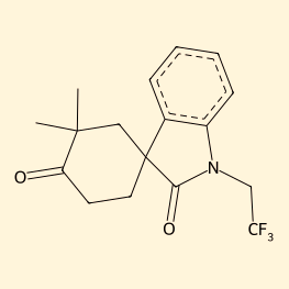 CC1(C)CC2(CCC1=O)C(=O)N(CC(F)(F)F)c1ccccc12